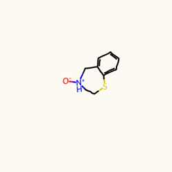 [O-][NH+]1CCSc2ccccc2C1